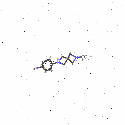 O=C(O)N1CC2(C1)CN(c1ccc(I)cc1)C2